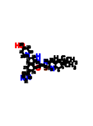 CC(C)(C)[C@H]1CCc2nc3sc(C(=O)N[C@H](CCN4CCC(O)CC4)c4ccc(-c5ncns5)cc4)nc3cc2C1